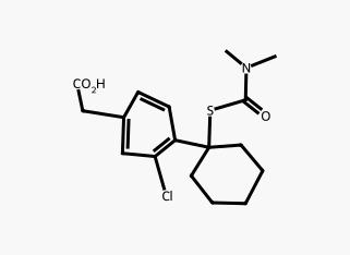 CN(C)C(=O)SC1(c2ccc(CC(=O)O)cc2Cl)CCCCC1